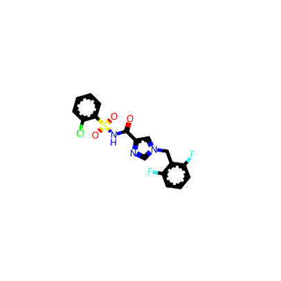 O=C(NS(=O)(=O)c1ccccc1Cl)c1cn(Cc2c(F)cccc2F)cn1